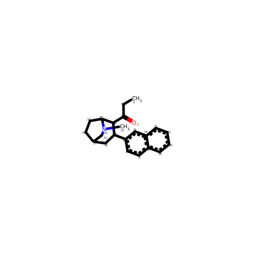 CCC(=O)C1C(c2ccc3ccccc3c2)CC2CCC1N(C)C2